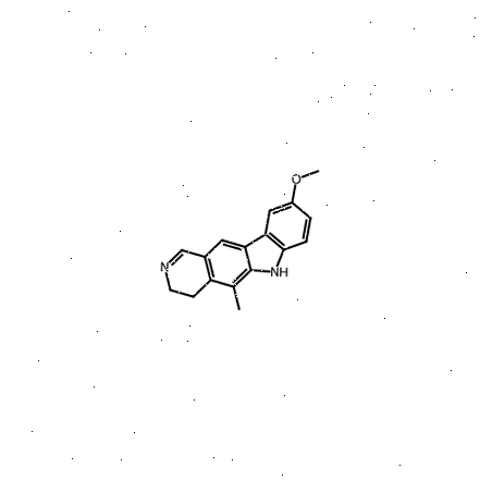 COc1ccc2[nH]c3c(C)c4c(cc3c2c1)C=NCC4